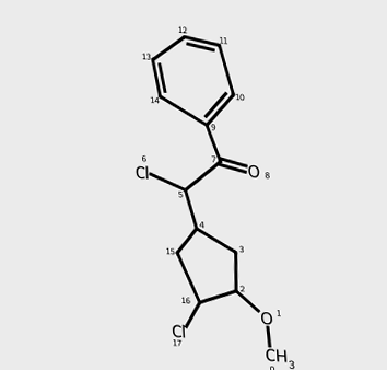 COC1CC(C(Cl)C(=O)c2ccccc2)CC1Cl